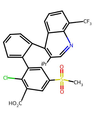 CC(C)c1cnc2c(C(F)(F)F)cccc2c1-c1ccccc1-c1cc(S(C)(=O)=O)cc(C(=O)O)c1Cl